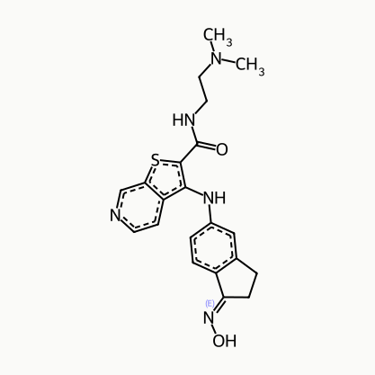 CN(C)CCNC(=O)c1sc2cnccc2c1Nc1ccc2c(c1)CC/C2=N\O